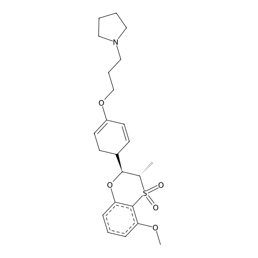 COc1cccc2c1S(=O)(=O)[C@@H](C)[C@H](C1C=CC(OCCCN3CCCC3)=CC1)O2